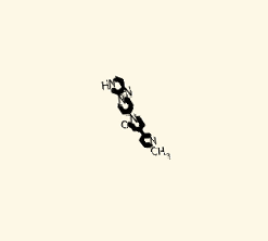 Cc1ccc(-c2ccn(-c3ccn4c5c(nc4c3)CCNC5)c(=O)c2)cn1